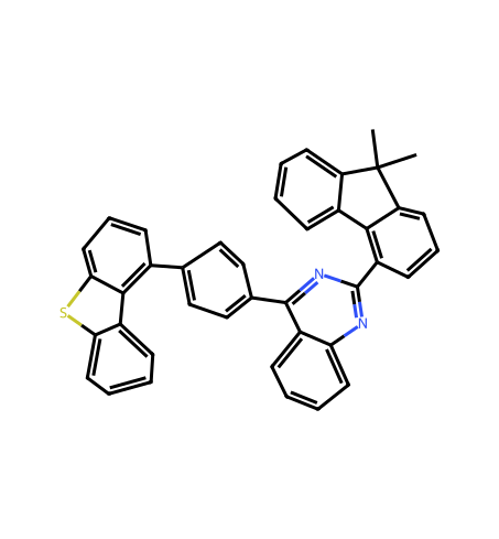 CC1(C)c2ccccc2-c2c(-c3nc(-c4ccc(-c5cccc6sc7ccccc7c56)cc4)c4ccccc4n3)cccc21